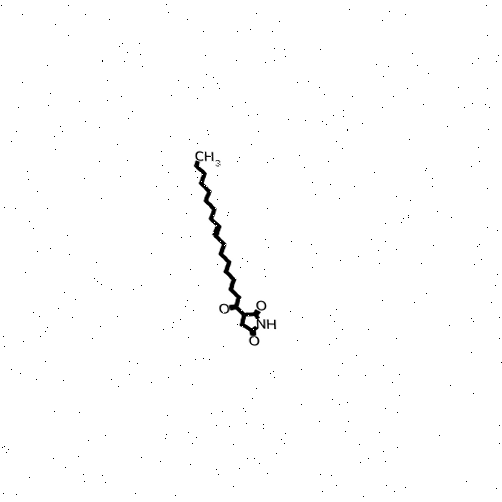 CCCCCCCCC=CCCCCCCCC(=O)C1CC(=O)NC1=O